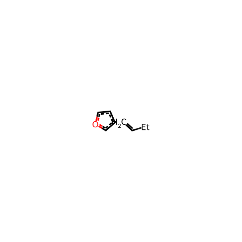 C=CCC.c1ccoc1